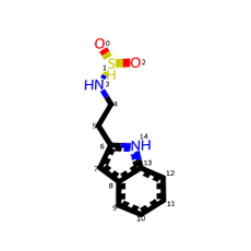 O=[SH](=O)NCCc1cc2ccccc2[nH]1